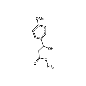 COc1ccc(C(O)CC(=O)ON)cc1